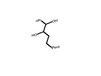 [CH2]C(CCC)CCC(O)C(O)CCC